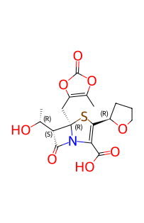 Cc1oc(=O)oc1C[C@]12SC([C@H]3CCCO3)=C(C(=O)O)N1C(=O)[C@@H]2[C@@H](C)O